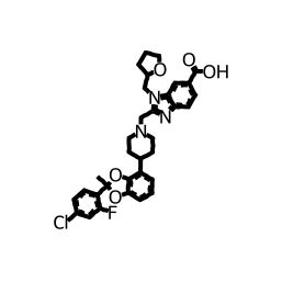 CC1(c2ccc(Cl)cc2F)Oc2cccc(C3CCN(Cc4nc5ccc(C(=O)O)cc5n4CC4CCCO4)CC3)c2O1